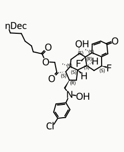 CCCCCCCCCCCCCCCC(=O)OCC(=O)[C@H]1[C@H](CN(O)c2ccc(Cl)cc2)C[C@H]2[C@@H]3C[C@H](F)C4=CC(=O)C=C[C@]4(C)[C@@]3(F)[C@@H](O)C[C@@]21C